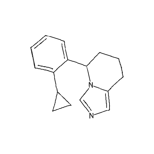 c1ccc(C2CCCc3cncn32)c(C2CC2)c1